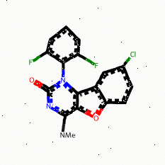 CNc1nc(=O)n(-c2c(F)cccc2F)c2c1oc1ccc(Cl)cc12